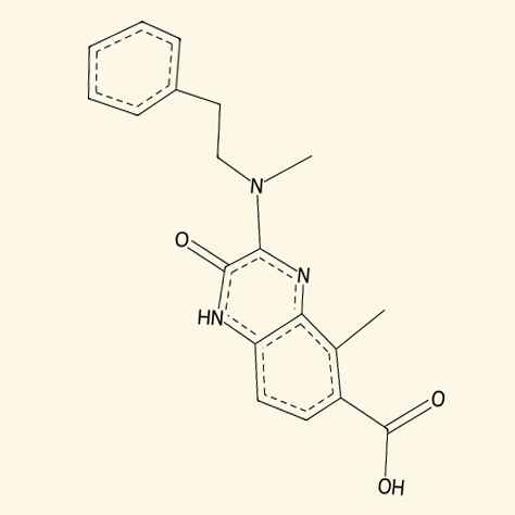 Cc1c(C(=O)O)ccc2[nH]c(=O)c(N(C)CCc3ccccc3)nc12